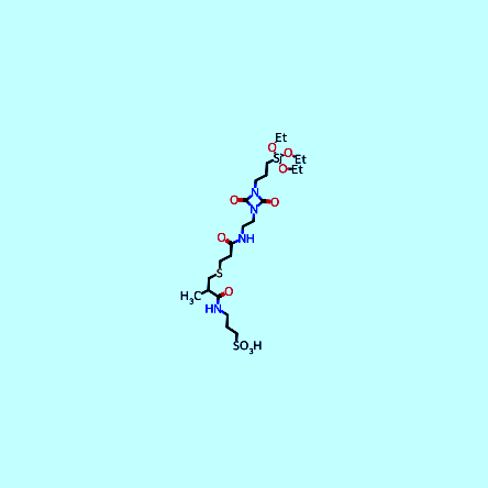 CCO[Si](CCCN1C(=O)N(CCNC(=O)CCSCC(C)C(=O)NCCCS(=O)(=O)O)C1=O)(OCC)OCC